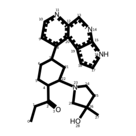 CCC(=O)C1CCC(c2ccnc3cnc4[nH]ccc4c23)CC1N1CCC(C)(O)C1